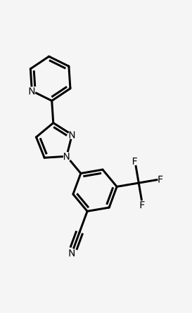 N#Cc1cc(-n2ccc(-c3ccccn3)n2)cc(C(F)(F)F)c1